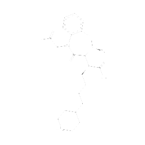 N[C@@H]1Sc2ccccc2N(CC(=O)O)C(=O)C1[C@H](CCCCC1CCNCC1)C(=O)O